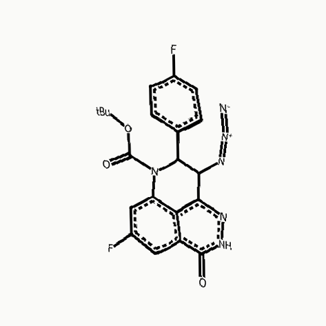 CC(C)(C)OC(=O)N1c2cc(F)cc3c(=O)[nH]nc(c23)C(N=[N+]=[N-])C1c1ccc(F)cc1